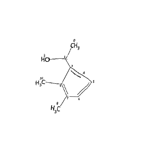 C[C](O)c1cccc(C)c1C